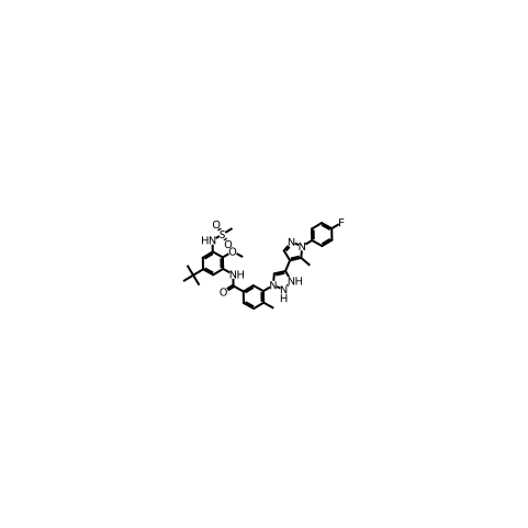 COc1c(NC(=O)c2ccc(C)c(N3C=C(c4cnn(-c5ccc(F)cc5)c4C)NN3)c2)cc(C(C)(C)C)cc1NS(C)(=O)=O